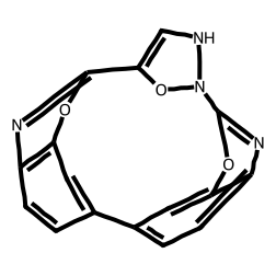 C1=C2ON(N1)c1nc3ccc(cc3o1)-c1ccc3nc2oc3c1